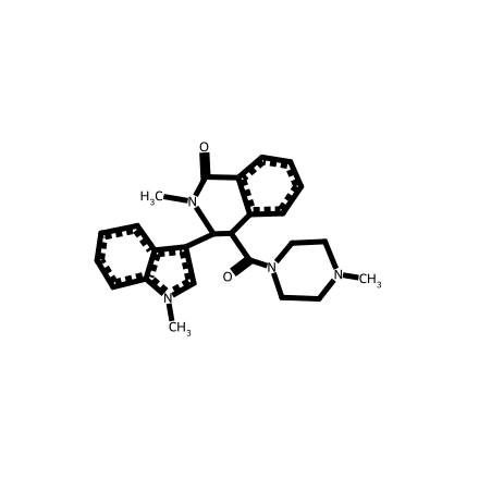 CN1CCN(C(=O)C2c3ccccc3C(=O)N(C)C2c2cn(C)c3ccccc23)CC1